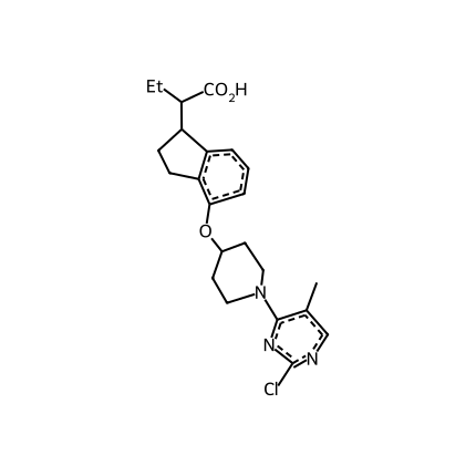 CCC(C(=O)O)C1CCc2c(OC3CCN(c4nc(Cl)ncc4C)CC3)cccc21